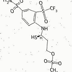 CS(=O)(=O)OCC[C@@H](S)Nc1ccc(S(N)(=O)=O)cc1S(=O)(=O)C(F)(F)F